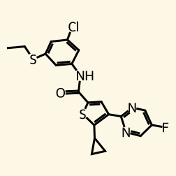 CCSc1cc(Cl)cc(NC(=O)c2cc(-c3ncc(F)cn3)c(C3CC3)s2)c1